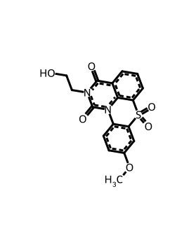 COc1ccc2c(c1)S(=O)(=O)c1cccc3c(=O)n(CCO)c(=O)n-2c13